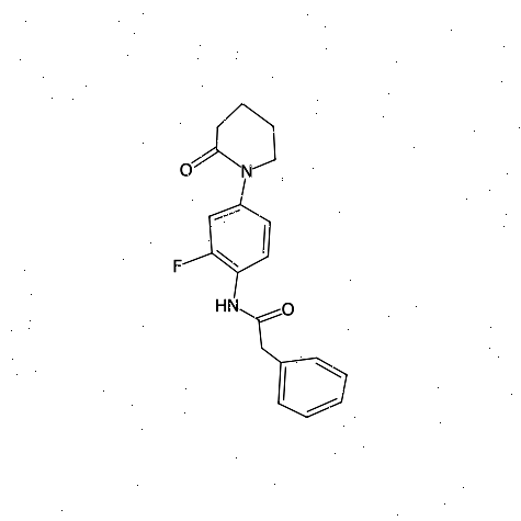 O=C(Cc1ccccc1)Nc1ccc(N2CCCCC2=O)cc1F